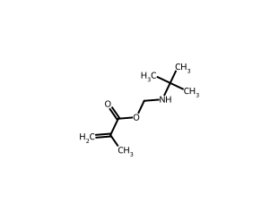 C=C(C)C(=O)OCNC(C)(C)C